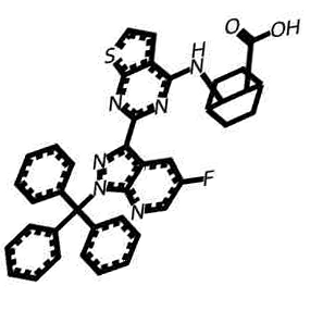 O=C(O)C1C2CCC(CC2)C1Nc1nc(-c2nn(C(c3ccccc3)(c3ccccc3)c3ccccc3)c3ncc(F)cc23)nc2sccc12